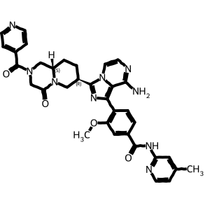 COc1cc(C(=O)Nc2cc(C)ccn2)ccc1-c1nc([C@@H]2CC[C@H]3CN(C(=O)c4ccncc4)CC(=O)N3C2)n2ccnc(N)c12